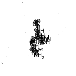 CCCCCNc1nc(N)nc2ccn(Cc3ccc(CN4CCN(C(=O)OCc5ccc(O[C@@H]6C[C@H](C(=O)O)[C@@H](O)[C@H](O)[C@H]6O)c(NC(=O)CCNC(=O)CCOCCN6C(=O)C=CC6=O)c5)CC4)cc3OC)c12